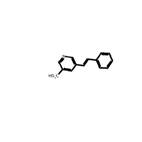 O=C(O)c1cncc(/C=C/c2ccccc2)c1